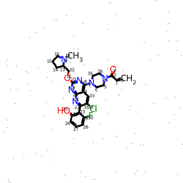 C=CC(=O)N1CCN(c2nc(OCC3CCCN3C)nc3nc(-c4c(O)cccc4F)c(Cl)cc23)CC1